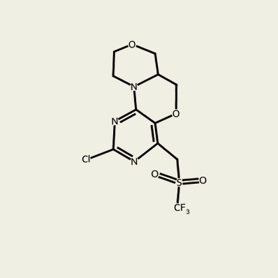 O=S(=O)(Cc1nc(Cl)nc2c1OCC1COCCN21)C(F)(F)F